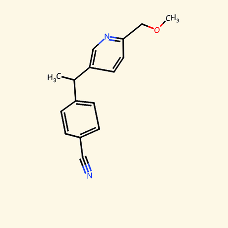 COCc1ccc(C(C)c2ccc(C#N)cc2)cn1